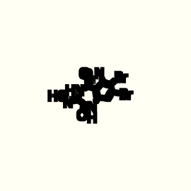 O=c1[nH]c2cc(Br)c(Br)c([N+](=O)[O-])c2c(=O)[nH]c1=NO